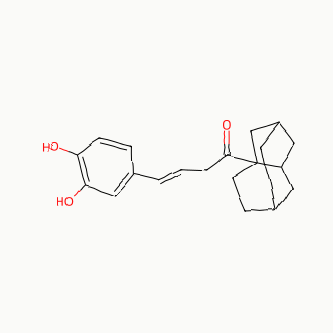 O=C(C/C=C/c1ccc(O)c(O)c1)C12CCC3CC(CC1C3)C2